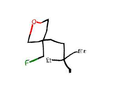 CCC(C)(CC)CC1(CF)COC1